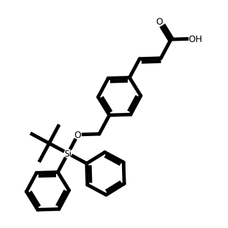 CC(C)(C)[Si](OCc1ccc(/C=C/C(=O)O)cc1)(c1ccccc1)c1ccccc1